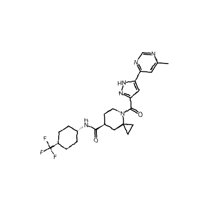 Cc1cc(-c2cc(C(=O)N3CC[C@H](C(=O)N[C@H]4CC[C@H](C(F)(F)F)CC4)CC34CC4)n[nH]2)ncn1